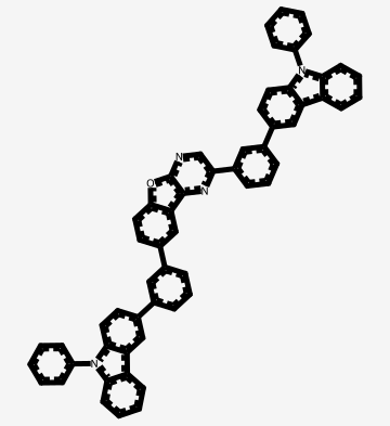 c1ccc(-n2c3ccccc3c3cc(-c4cccc(-c5ccc6oc7ncc(-c8cccc(-c9ccc%10c(c9)c9ccccc9n%10-c9ccccc9)c8)nc7c6c5)c4)ccc32)cc1